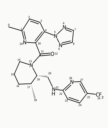 Cc1ccc(-n2nccn2)c(C(=O)N2CCC[C@@H](C)[C@H]2CNc2ccc(C(F)(F)F)cn2)n1